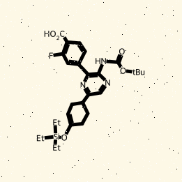 CC[Si](CC)(CC)OC1=CCC(c2cnc(NC(=O)OC(C)(C)C)c(-c3ccc(C(=O)O)c(F)c3)n2)CC1